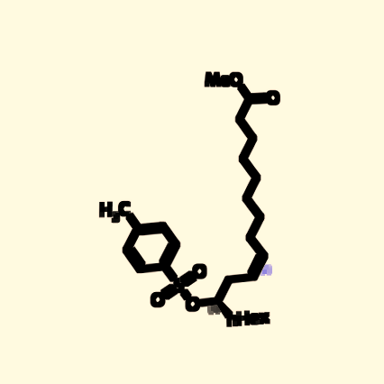 CCCCCC[C@H](C/C=C\CCCCCCCC(=O)OC)OS(=O)(=O)c1ccc(C)cc1